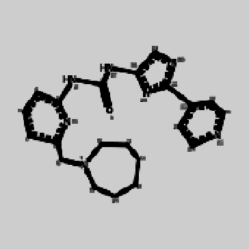 O=C(Nc1cccc(CN2CCCCCC2)n1)Nc1csc(-c2ccncc2)n1